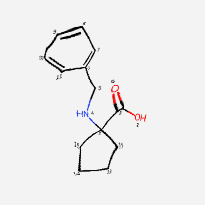 O=C(O)C1(NCc2ccccc2)CCCC1